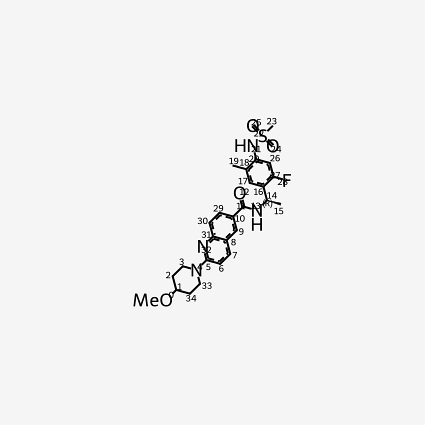 COC1CCN(c2ccc3cc(C(=O)N[C@H](C)c4cc(C)c(NS(C)(=O)=O)cc4F)ccc3n2)CC1